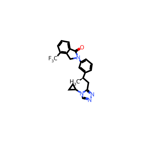 C[C@H](Cc1nncn1C1CC1)c1cccc(N2Cc3c(cccc3C(F)(F)F)C2=O)c1